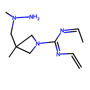 C=C/N=C(\N=C/C)N1CC(C)(CN(C)N)C1